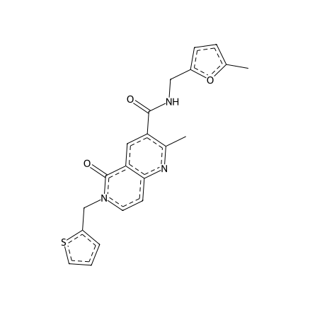 Cc1ccc(CNC(=O)c2cc3c(=O)n(Cc4cccs4)ccc3nc2C)o1